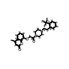 Cc1cc(=O)oc2c(OCC(=O)N3CCN(CCc4ccccc4C(F)(F)F)CC3)cccc12